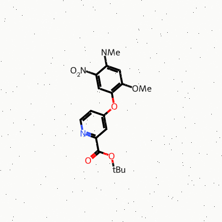 CNc1cc(OC)c(Oc2ccnc(C(=O)OC(C)(C)C)c2)cc1[N+](=O)[O-]